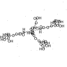 CC(=O)N[C@H]1[C@H](OCCOCCOCCOCC(=O)NCCCC[C@H](NC(=O)COCCOCCOCCO[C@@H]2O[C@H](CO)[C@H](O)[C@H](O)[C@H]2NC(C)=O)C(=O)N[C@@H](CCCCNC(=O)COCCOCCOCCO[C@@H]2O[C@H](CO)[C@H](O)[C@H](O)[C@H]2NC(C)=O)C(=O)NCCCOCCC(=O)O)O[C@H](CO)[C@H](O)[C@@H]1O